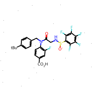 CC(C)(C)c1ccc(CN(C(=O)CN[S+]([O-])c2c(F)c(F)c(F)c(F)c2F)c2ccc(C(=O)O)cc2F)cc1